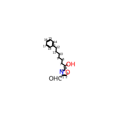 O=Cc1coc(C(O)CCCCCCc2ccccc2)n1